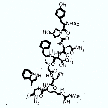 CNC(=N)NCCC[C@H](NC(=O)[C@H](CC(C)C)NC(=O)CSC[C@H](Cc1ccccc1)NC(=O)[C@@H](NC(=O)[C@H](CC(N)=O)NC(=O)[C@@H]1C[C@@H](O)CN1C(=O)[C@@H](Cc1ccc(O)cc1)NC(C)=O)[C@@H](C)O)C(=O)N[C@@H](Cc1c[nH]c2ccccc12)C(N)=O